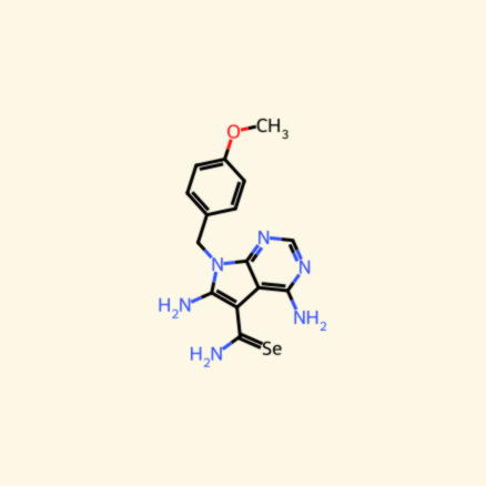 COc1ccc(Cn2c(N)c(C(N)=[Se])c3c(N)ncnc32)cc1